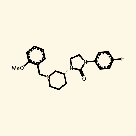 COc1ccccc1CN1CCC[C@@H](N2CCN(c3ccc(F)cc3)C2=O)C1